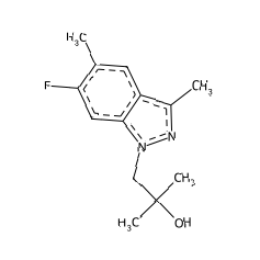 Cc1cc2c(C)nn(CC(C)(C)O)c2cc1F